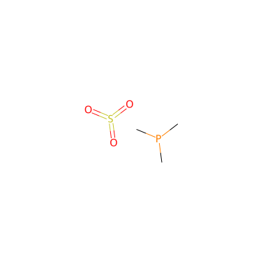 CP(C)C.O=S(=O)=O